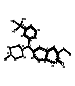 CCc1cc2cc(C(c3cccc(C(F)(F)F)c3)N3CCN(C)CC3)ccc2[nH]c1=O